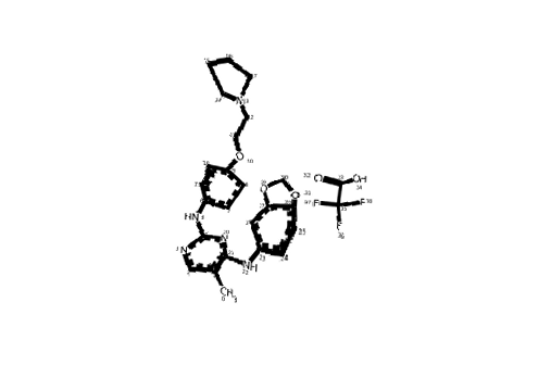 Cc1cnc(Nc2ccc(OCCN3CCCC3)cc2)nc1Nc1ccc2c(c1)OCO2.O=C(O)C(F)(F)F